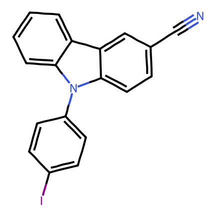 N#Cc1ccc2c(c1)c1ccccc1n2-c1ccc(I)cc1